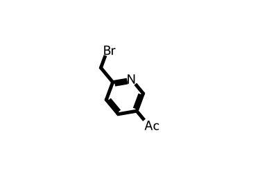 CC(=O)c1ccc(CBr)nc1